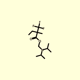 CCC(C)(C(=O)OCN(C(C)C)C(C)C)C(F)(F)F